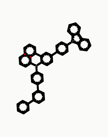 c1ccc(-c2cccc(-c3ccc(N(c4ccccc4)c4ccc(-c5ccc(-n6c7ccccc7c7ccccc76)cc5)cc4-c4ccccc4)cc3)c2)cc1